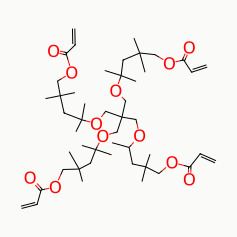 C=CC(=O)OCC(C)(C)CC(C)OCC(COC(C)(C)CC(C)(C)COC(=O)C=C)(COC(C)(C)CC(C)(C)COC(=O)C=C)COC(C)(C)CC(C)(C)COC(=O)C=C